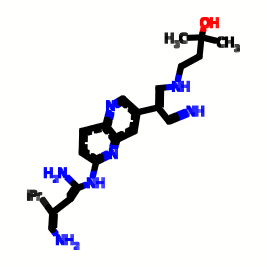 CC(C)C(=C/N)/C=C(\N)Nc1ccc2ncc(/C(C=N)=C/NCCC(C)(C)O)cc2n1